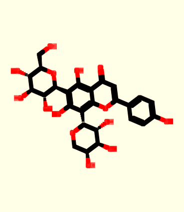 O=c1cc(-c2ccc(O)cc2)oc2c([C@H]3OC[C@H](O)[C@H](O)[C@H]3O)c(O)c([C@@H]3O[C@H](CO)[C@@H](O)[C@H](O)[C@H]3O)c(O)c12